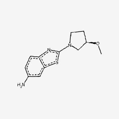 CO[C@@H]1CCN(c2nc3ccc(N)cc3s2)C1